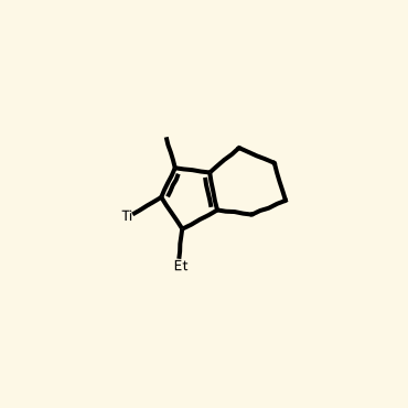 CCC1[C]([Ti])=C(C)C2=C1CCCC2